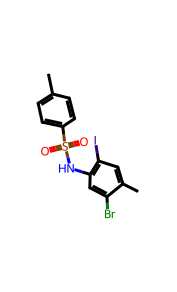 Cc1ccc(S(=O)(=O)Nc2cc(Br)c(C)cc2I)cc1